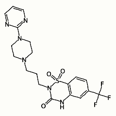 O=C1Nc2cc(C(F)(F)F)ccc2S(=O)(=O)N1CCCN1CCN(c2ncccn2)CC1